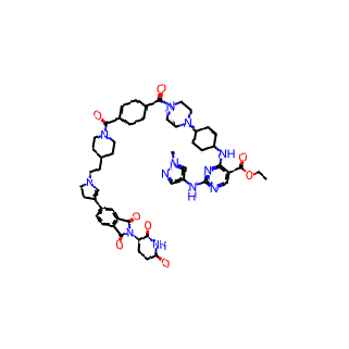 CCOC(=O)c1cnc(Nc2cnn(C)c2)nc1NC1CCC(N2CCN(C(=O)C3CCC(C(=O)N4CCC(CCN5C=C(c6ccc7c(c6)C(=O)N(C6CCC(=O)NC6=O)C7=O)CC5)CC4)CC3)CC2)CC1